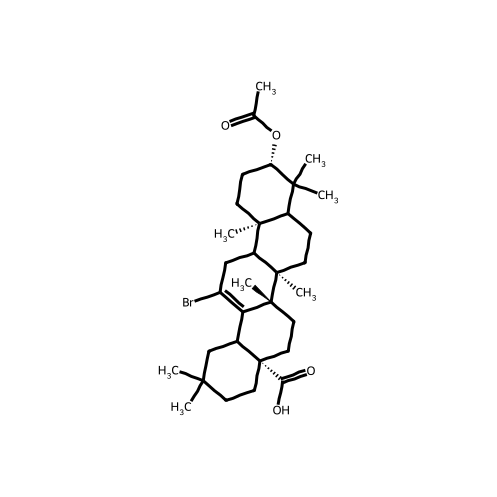 CC(=O)O[C@H]1CC[C@@]2(C)C(CC[C@]3(C)C2CC(Br)=C2C4CC(C)(C)CC[C@]4(C(=O)O)CC[C@]23C)C1(C)C